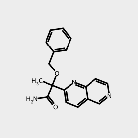 CC(OCc1ccccc1)(C(N)=O)c1ccc2cnccc2n1